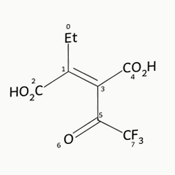 CC/C(C(=O)O)=C(\C(=O)O)C(=O)C(F)(F)F